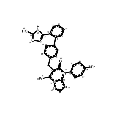 CCCc1c(Cc2ccc(-c3ccccc3C3=NOC(O)N3)cc2)c(=O)n(-c2ccc(C(C)C)cc2)c2ncnn12